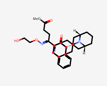 COC(=O)CCC(=NOCCO)c1nc2ccccc2n([C@H]2C[C@H]3CCC[C@@H](C2)N3C2CC3CCCC(C3)C2)c1=O